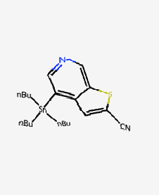 CCC[CH2][Sn]([CH2]CCC)([CH2]CCC)[c]1cncc2sc(C#N)cc12